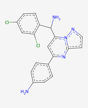 Nc1ccc(-c2cc(C(N)c3ccc(Cl)cc3Cl)n3nccc3n2)cc1